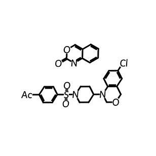 CC(=O)c1ccc(S(=O)(=O)N2CCC(N3COCc4cc(Cl)ccc43)CC2)cc1.O=c1nc2ccccc2co1